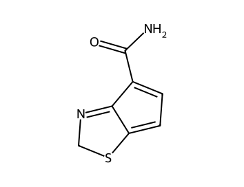 NC(=O)C1=CC=C2SCN=C21